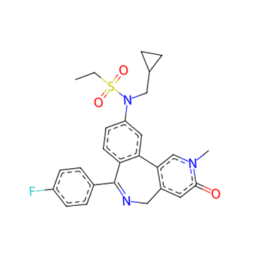 CCS(=O)(=O)N(CC1CC1)c1ccc2c(c1)-c1cn(C)c(=O)cc1CN=C2c1ccc(F)cc1